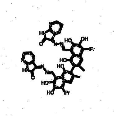 Cc1cc2c(C(C)C)c(O)c(O)c(/C=N/N=C3\C(=O)Nc4ncccc43)c2c(O)c1-c1c(C)cc2c(C(C)C)c(O)c(O)c(/C=N/N=C3/C(=O)Nc4ncccc43)c2c1O